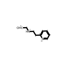 O=[C]CNCCc1ccccn1